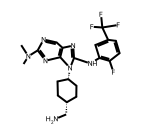 CN(C)c1ncc2nc(Nc3cc(C(F)(F)F)ccc3F)n([C@H]3CC[C@@H](CN)CC3)c2n1